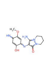 COC1=CC(=Nc2c(N)n3n(c2=O)CCCC3)C(O)=CC1=N